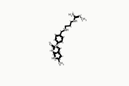 C/N=C(/N)NCCCNCc1ccc(-n2cc3cc(C)[nH]c3nc2=O)cc1